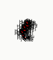 CCC(C)C(=O)OCCC[Si](OC)(OC)O[Si](C)(C)O[Si](C)(C)O[Si](C)(C)O[Si](C)(C)O[Si](C)(C)O[Si](C)(C)O[Si](C)(C)O[Si](C)(C)O[Si](C)(C)O[Si](C)(C)O[Si](C)(C)O[Si](C)(C)O[Si](C)(C)O[Si](C)(C)O[Si](C)(C)O[Si](C)(C)O[Si](C)(C)O[Si](C)(C)O[Si](C)(C)O[Si](C)(C)O[Si](C)(C)O[Si](C)(C)O[Si](C)(C)O[Si](C)(C)O[SiH](C)C